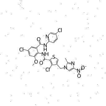 COc1cc(Cl)cc(C(=O)Nc2ccc(Cl)cn2)c1NC(=O)c1scc(Cn2cc([N+](=O)[O-])nc2C)c1Cl